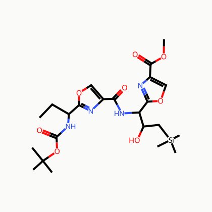 CCC(NC(=O)OC(C)(C)C)c1nc(C(=O)NC(c2nc(C(=O)OC)co2)C(O)C[Si](C)(C)C)co1